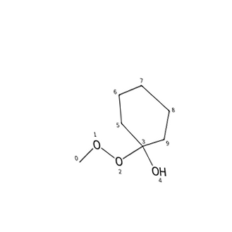 COOC1(O)CCCCC1